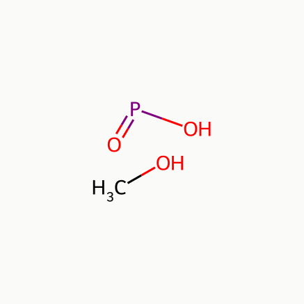 CO.O=PO